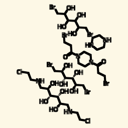 C1CNCCN1.O=C(CCBr)N1CCN(C(=O)CCBr)CC1.OC(CBr)C(O)C(O)C(O)CBr.O[C@@H]([C@H](O)[C@H](O)CBr)[C@H](O)CBr.O[C@@H]([C@H](O)[C@H](O)CNCCCl)[C@H](O)CNCCCl